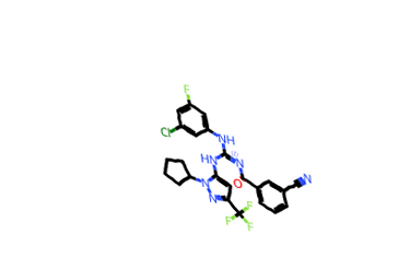 N#Cc1cccc(C(=O)/N=C(/Nc2cc(F)cc(Cl)c2)Nc2cc(C(F)(F)F)nn2C2CCCC2)c1